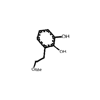 COCCc1cccc(O)c1O